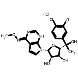 CON=c1nc[nH]c2c1ccn2[C@@H]1O[C@H](C(C)(O)c2ccc(Cl)c(Cl)c2)[C@@H](O)[C@H]1O.Cl